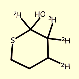 [2H]C1CCSC([2H])(O)C1([2H])[2H]